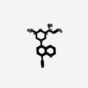 C=C[C@@H](O)[C@H]1CN(c2ccc(C#N)c3ncccc23)C[C@@H](C)O1